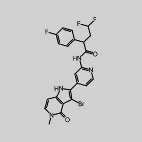 Cn1ccc2[nH]c(-c3ccnc(NC(=O)C(CC(F)F)c4ccc(F)cc4)c3)c(Br)c2c1=O